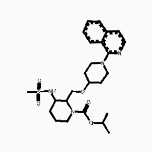 CC(C)OC(=O)N1CCCC(NS(C)(=O)=O)C1COC1CCN(c2nccc3ccccc23)CC1